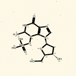 NC1NC(=O)c2ncn([C@H]3C[C@H](O)[C@@H](CO)O3)c2N1OP(=O)(O)O